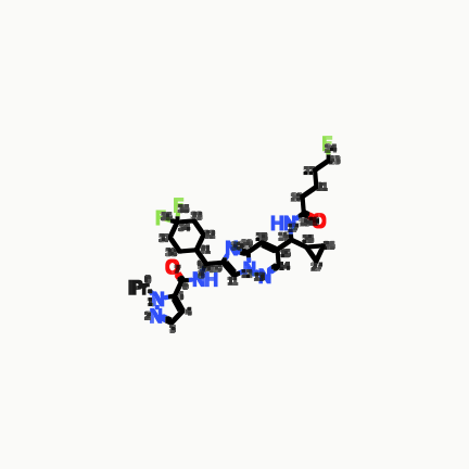 CC(C)n1nccc1C(=O)N[C@H](c1cn2ncc(C(NC(=O)CCCCF)C3CC3)cc2n1)C1CCC(F)(F)CC1